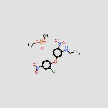 CCNc1cc(Oc2ccc([N+](=O)[O-])cc2Cl)ccc1[N+](=O)[O-].CO[PH](=O)OC